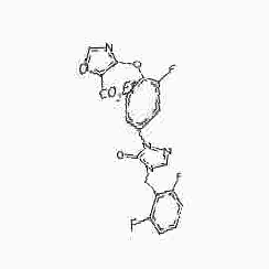 CCOC(=O)c1ocnc1Oc1ccc(-n2ncn(Cc3c(F)cccc3F)c2=O)cc1F